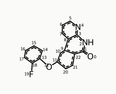 O=c1[nH]c2ncccc2c2cc(Oc3ccccc3F)ccc12